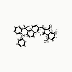 CC1(C)c2ccccc2N(c2ccccc2)c2ccc3cc(C=C4C(=O)c5c(Cl)ccc(Cl)c5C4=O)ccc3c21